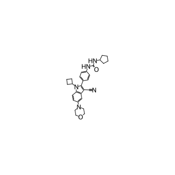 N#Cc1c(-c2ccc(NC(=O)NC3CCCC3)cc2)n(C2CCC2)c2ccc(N3CCOCC3)cc12